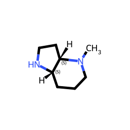 CN1CCC[C@@H]2NCC[C@@H]21